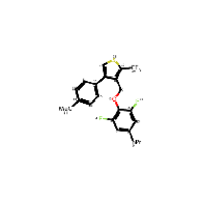 CCCc1cc(F)c(OCc2c(-c3ccc(OC)cc3)csc2C(F)(F)F)c(F)c1